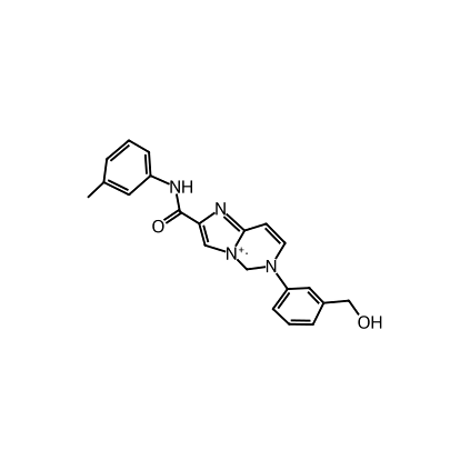 Cc1cccc(NC(=O)C2=C[N+]3CN(c4cccc(CO)c4)C=CC3=N2)c1